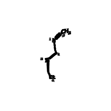 C=NCSCC